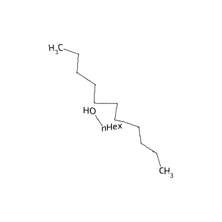 CCCCCCCCCCC.CCCCCCO